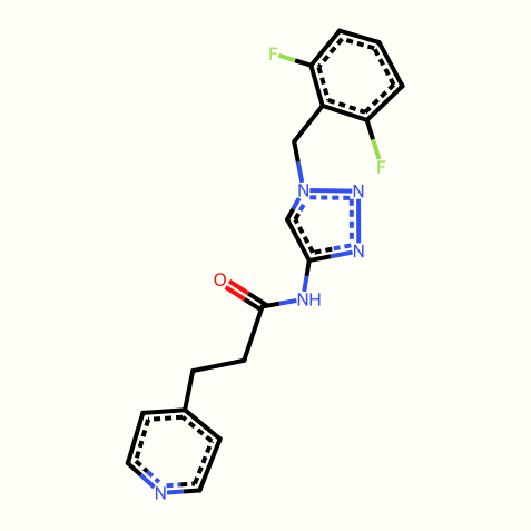 O=C(CCc1ccncc1)Nc1cn(Cc2c(F)cccc2F)nn1